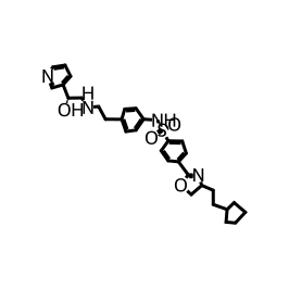 O=S(=O)(Nc1ccc(CCNC[C@H](O)c2cccnc2)cc1)c1ccc(C2=NC(CCC3CCCC3)CO2)cc1